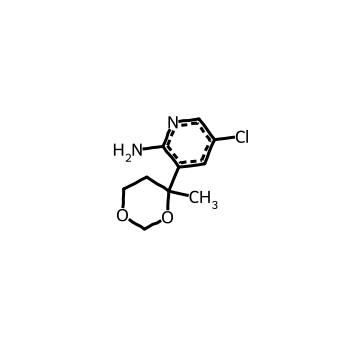 CC1(c2cc(Cl)cnc2N)CCOCO1